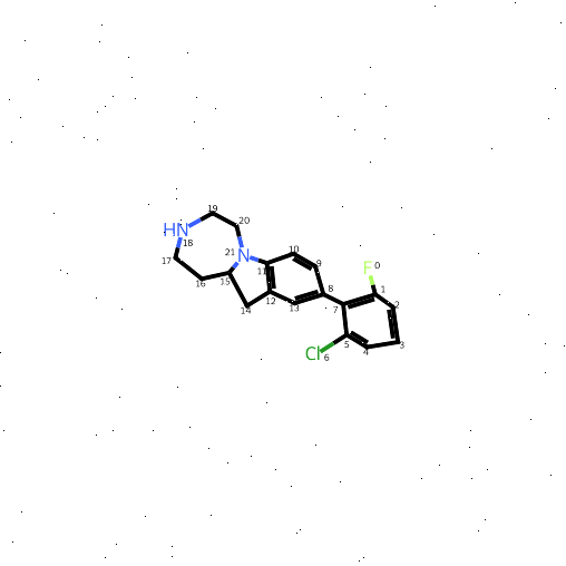 Fc1cccc(Cl)c1-c1ccc2c(c1)CC1CCNCCN21